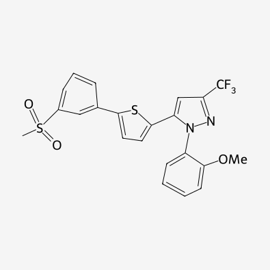 COc1ccccc1-n1nc(C(F)(F)F)cc1-c1ccc(-c2cccc(S(C)(=O)=O)c2)s1